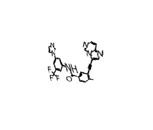 Cc1ccc(C(=O)Nc2cc(-n3ccnc3)cc(C(F)(F)F)c2)cc1C#Cc1cnc2ccncn12